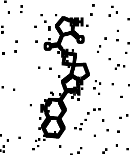 O=C1NCCC1C(=O)N1CC2(CCn3nc(-c4cnc5ccccc5c4)cc32)C1